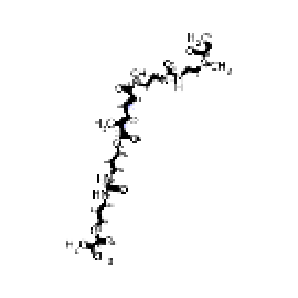 C=CC(=O)N(C)CCNC(=O)NCCN(C)C(=O)/C=C/C=C(\C)C(=O)OCCCNC(=O)NCCCOC(=O)C(=C)C